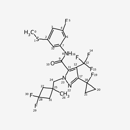 CSc1cc(F)cc(NC(=O)c2c(C(F)(F)F)c(C3(F)CC3)nn2CC2(C)CC(F)(F)C2)c1